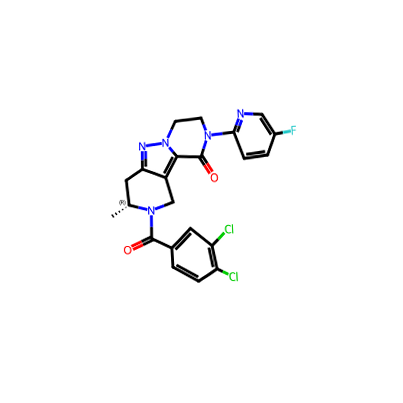 C[C@@H]1Cc2nn3c(c2CN1C(=O)c1ccc(Cl)c(Cl)c1)C(=O)N(c1ccc(F)cn1)CC3